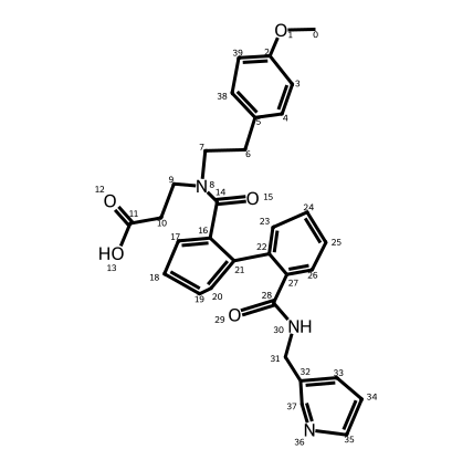 COc1ccc(CCN(CCC(=O)O)C(=O)c2ccccc2-c2ccccc2C(=O)NCc2cccnc2)cc1